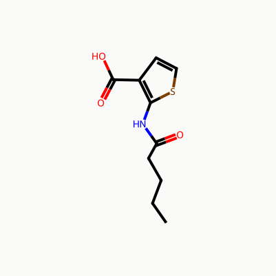 CCCCC(=O)Nc1sccc1C(=O)O